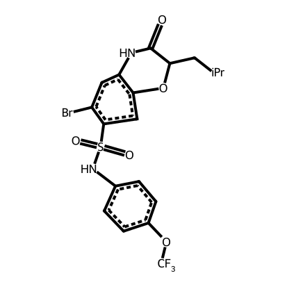 CC(C)CC1Oc2cc(S(=O)(=O)Nc3ccc(OC(F)(F)F)cc3)c(Br)cc2NC1=O